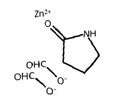 O=C1CCCN1.O=C[O-].O=C[O-].[Zn+2]